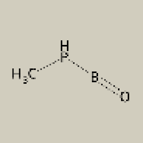 CPB=O